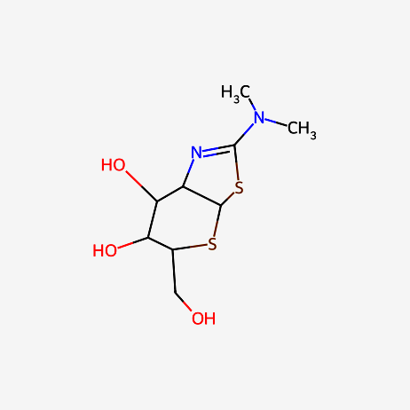 CN(C)C1=NC2C(S1)SC(CO)C(O)C2O